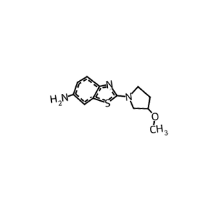 COC1CCN(c2nc3ccc(N)cc3s2)C1